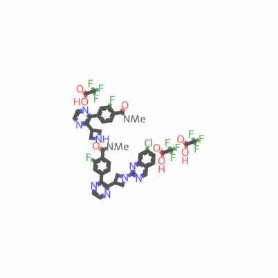 CNC(=O)c1ccc(-c2nccnc2C2CN(c3ncc4ccc(Cl)cc4n3)C2)cc1F.CNC(=O)c1ccc(-c2nccnc2C2CNC2)cc1F.O=C(O)C(F)(F)F.O=C(O)C(F)(F)F.O=C(O)C(F)(F)F